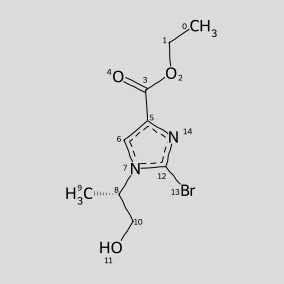 CCOC(=O)c1cn([C@@H](C)CO)c(Br)n1